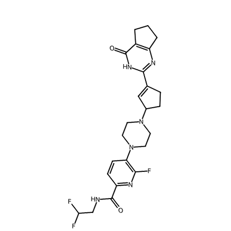 O=C(NCC(F)F)c1ccc(N2CCN(C3C=C(c4nc5c(c(=O)[nH]4)CCC5)CC3)CC2)c(F)n1